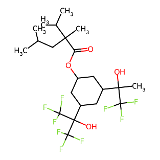 CC(C)CC(C)(C(=O)OC1CC(C(C)(O)C(F)(F)F)CC(C(O)(C(F)(F)F)C(F)(F)F)C1)C(C)C